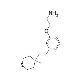 CC1(CCc2cccc(OCCN)c2)CCSCC1